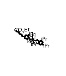 CCOC(=O)CCCCCc1cc(C(C)C)c(OS(=O)(=O)NC(=O)Cc2c(C(C)C)cc(C(C)C)cc2C(C)C)c(C(C)C)c1